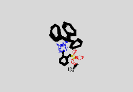 CC(C)(C)COS(=O)(=O)Cc1ccccc1-c1nnn(C(c2ccccc2)(c2ccccc2)c2ccccc2)n1